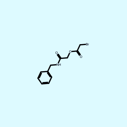 O=C(COC(=O)CBr)NCc1ccccc1